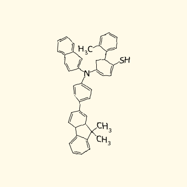 Cc1ccccc1C1CC(N(c2ccc(C3=CC4C(C=C3)c3ccccc3C4(C)C)cc2)c2ccc3ccccc3c2)=CC=C1S